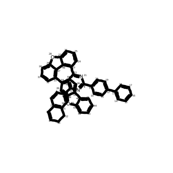 C1=Cc2ccc(-c3nc(-c4ccc(-c5ccccc5)cc4)nc(-c4cccc5oc6cccc(-c7ccc8c(c7)oc7ccccc78)c6c45)n3)cc2CC1